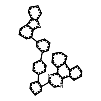 c1cc(-c2ccc(-c3ccccc3-c3cnc4c5ccccc5c5ccccc5c4n3)cc2)cc(-c2cccc3c2sc2ccccc23)c1